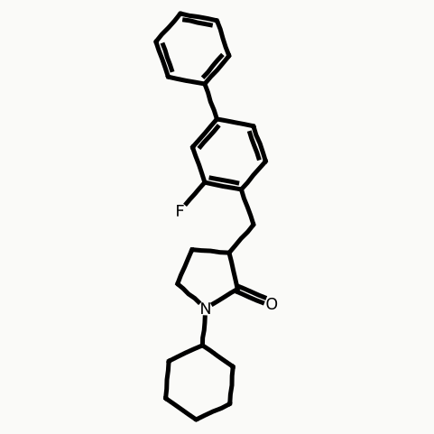 O=C1C(Cc2ccc(-c3ccccc3)cc2F)CCN1C1CCCCC1